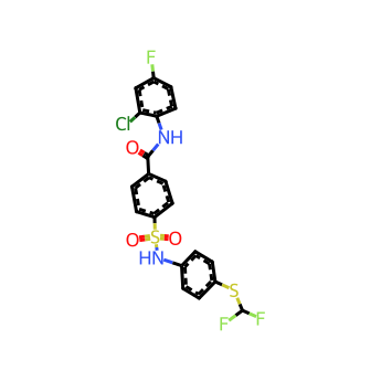 O=C(Nc1ccc(F)cc1Cl)c1ccc(S(=O)(=O)Nc2ccc(SC(F)F)cc2)cc1